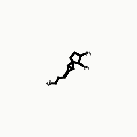 CC1CCC2(C1C)C1C(=CCCN)C12